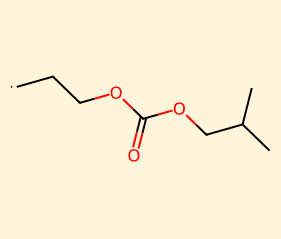 [CH2]CCOC(=O)OCC(C)C